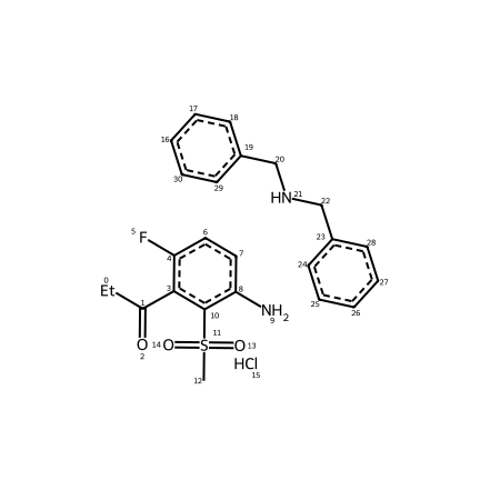 CCC(=O)c1c(F)ccc(N)c1S(C)(=O)=O.Cl.c1ccc(CNCc2ccccc2)cc1